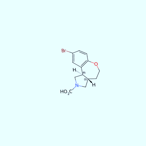 O=C(O)N1C[C@H]2CCOc3ccc(Br)cc3[C@@H]2C1